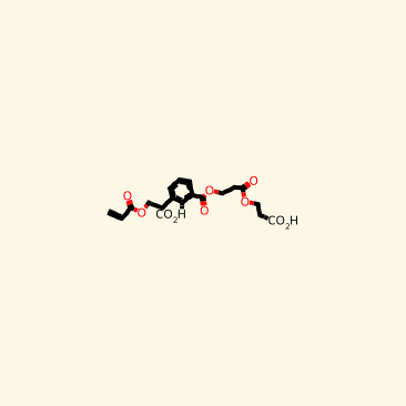 C=CC(=O)OCCc1cccc(C(=O)OCCC(=O)OCCC(=O)O)c1C(=O)O